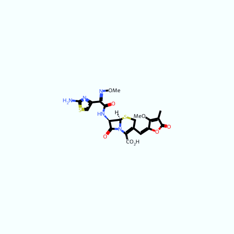 CO/N=C(\C(=O)N[C@@H]1C(=O)N2C(C(=O)O)=C(/C=C3/OC(=O)C(C)=C3OC)CS[C@H]12)c1csc(N)n1